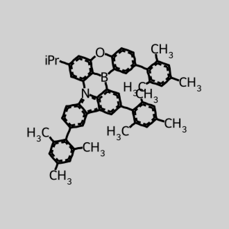 Cc1cc(C)c(-c2ccc3c(c2)B2c4c(cc(C(C)C)cc4-n4c5ccc(-c6c(C)cc(C)cc6C)cc5c5cc(-c6c(C)cc(C)cc6C)cc2c54)O3)c(C)c1